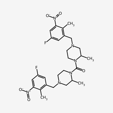 Cc1c(CN2CCN(C(=O)N3CCN(Cc4cc(F)cc([N+](=O)[O-])c4C)CC3C)C(C)C2)cc(F)cc1[N+](=O)[O-]